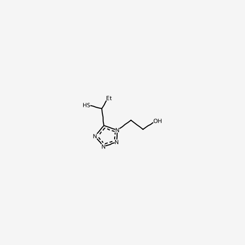 [CH2]CC(S)c1nnnn1CCO